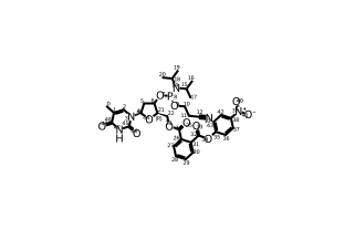 Cc1cn([C@H]2CC(OP(OCCC#N)N(C(C)C)C(C)C)[C@@H](COC(=O)c3ccccc3C(=O)Oc3ccc([N+](=O)[O-])cc3)O2)c(=O)[nH]c1=O